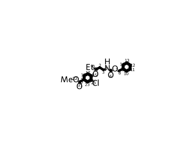 CC[C@@H](CCNC(=O)OCc1ccccc1)Oc1ccc(C(=O)OC)cc1Cl